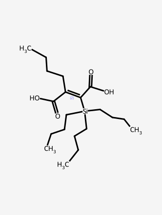 CCCC/C(C(=O)O)=C(\C(=O)O)[Si](CCCC)(CCCC)CCCC